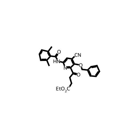 CCOC(=O)CCC(=O)c1nc(NC(=O)c2c(C)cccc2C)cc(C#N)c1OCc1ccccc1